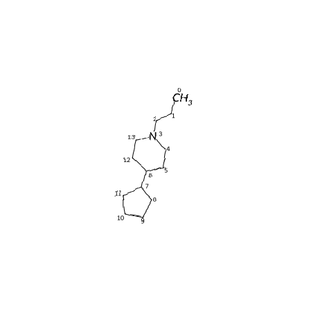 CCCN1CCC(C2CCCC2)CC1